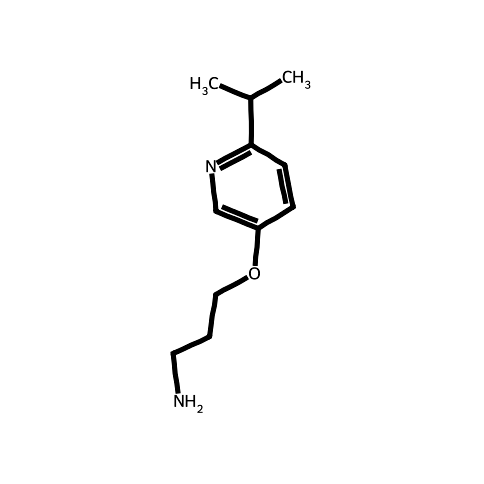 CC(C)c1ccc(OCCCN)cn1